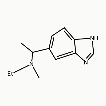 CCN(C)C(C)c1ccc2[nH]cnc2c1